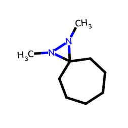 CN1N(C)C12CCCCCC2